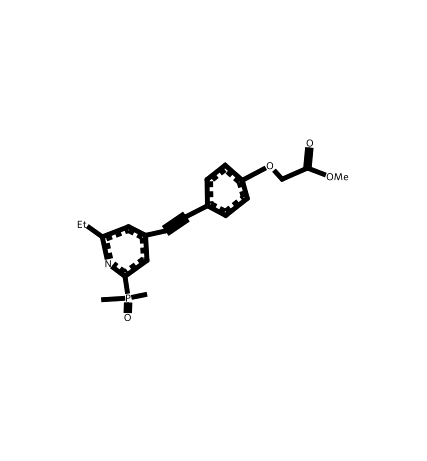 CCc1cc(C#Cc2ccc(OCC(=O)OC)cc2)cc(P(C)(C)=O)n1